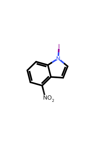 O=[N+]([O-])c1cccc2c1ccn2I